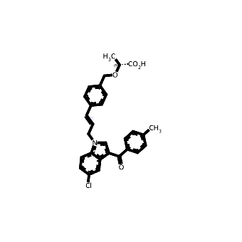 Cc1ccc(C(=O)c2cn(C/C=C/c3ccc(CO[C@H](C)C(=O)O)cc3)c3ccc(Cl)cc23)cc1